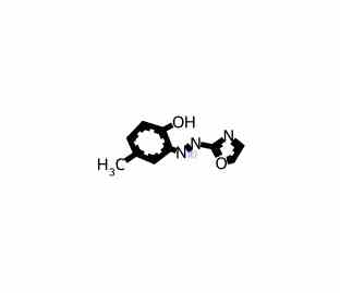 Cc1ccc(O)c(/N=N/c2ncco2)c1